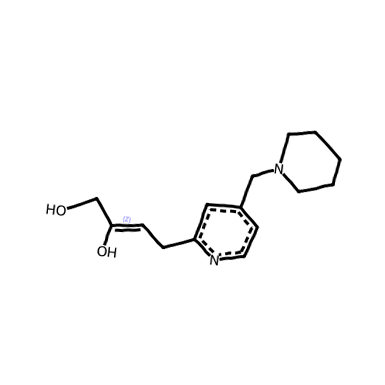 OC/C(O)=C/Cc1cc(CN2CCCCC2)ccn1